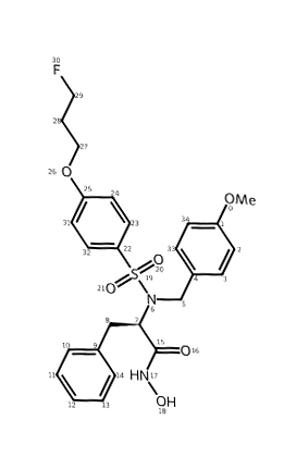 COc1ccc(CN([C@H](Cc2ccccc2)C(=O)NO)S(=O)(=O)c2ccc(OCCCF)cc2)cc1